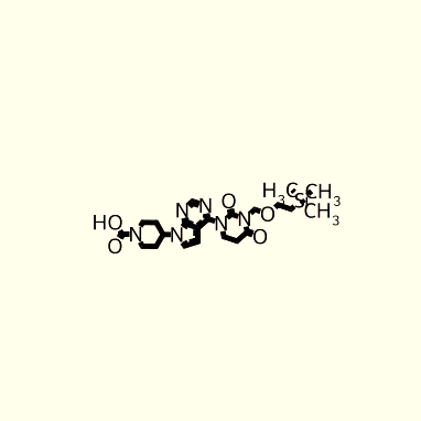 C[Si](C)(C)CCOCN1C(=O)CCN(c2ncnc3c2ccn3C2CCN(C(=O)O)CC2)C1=O